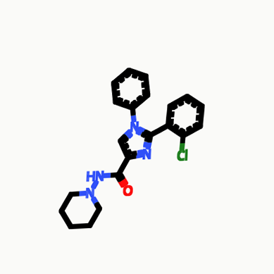 O=C(NN1CCCCC1)c1cn(-c2ccccc2)c(-c2ccccc2Cl)n1